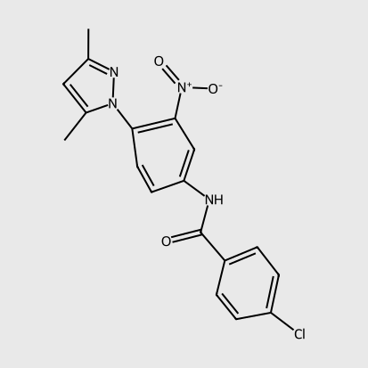 Cc1cc(C)n(-c2ccc(NC(=O)c3ccc(Cl)cc3)cc2[N+](=O)[O-])n1